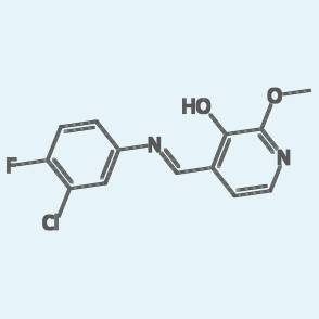 COc1nccc(C=Nc2ccc(F)c(Cl)c2)c1O